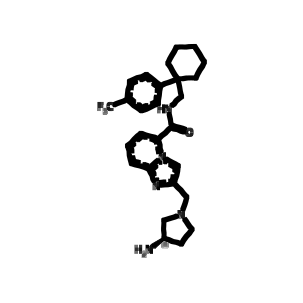 N[C@@H]1CCN(Cc2cn3c(C(=O)NCC4(c5ccc(C(F)(F)F)cc5)CCCCC4)cccc3n2)C1